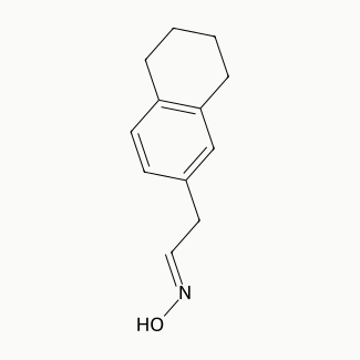 ON=CCc1ccc2c(c1)CCCC2